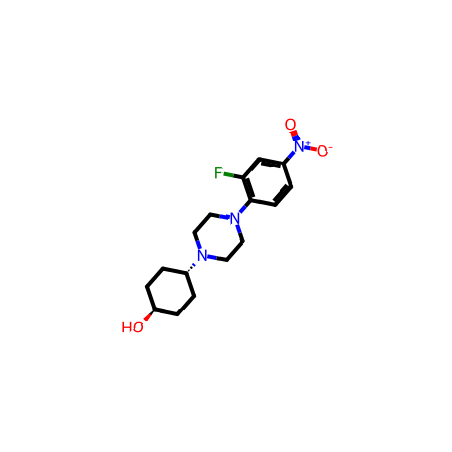 O=[N+]([O-])c1ccc(N2CCN([C@H]3CC[C@H](O)CC3)CC2)c(F)c1